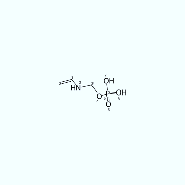 C=CNCOP(=O)(O)O